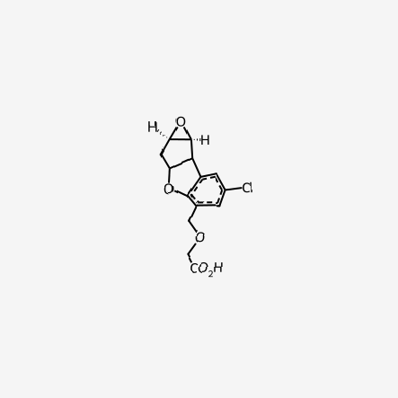 O=C(O)COCc1cc(Cl)cc2c1OC1C[C@H]3O[C@H]3C21